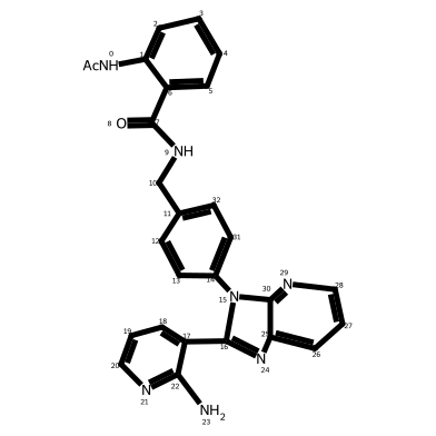 CC(=O)Nc1ccccc1C(=O)NCc1ccc(-n2c(-c3cccnc3N)nc3cccnc32)cc1